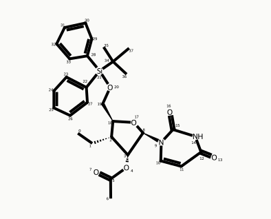 CC[C@H]1[C@@H](OC(C)=O)[C@H](n2ccc(=O)[nH]c2=O)O[C@@H]1CO[Si](c1ccccc1)(c1ccccc1)C(C)(C)C